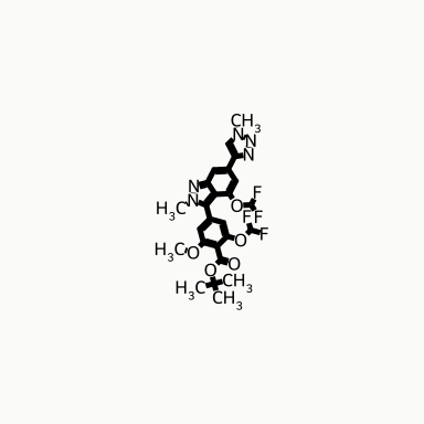 COc1cc(-c2c3c(OC(F)F)cc(-c4cn(C)nn4)cc3nn2C)cc(OC(F)F)c1C(=O)OC(C)(C)C